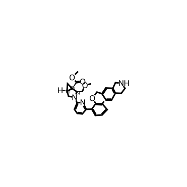 COC[C@H]1N(c2cccc(-c3cccc(C)c3OCc3ccc4c(c3)CNCC4)n2)C[C@@H]2C[C@@]21C(=O)OC